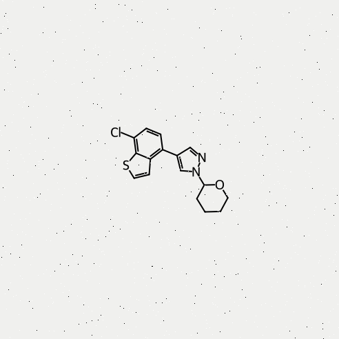 Clc1ccc(-c2cnn(C3CCCCO3)c2)c2ccsc12